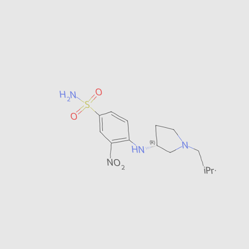 C[C](C)CN1CC[C@@H](Nc2ccc(S(N)(=O)=O)cc2[N+](=O)[O-])C1